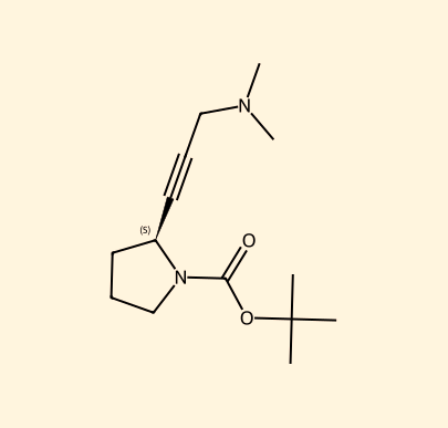 CN(C)CC#C[C@@H]1CCCN1C(=O)OC(C)(C)C